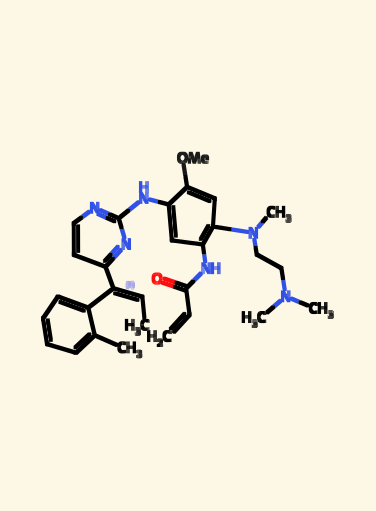 C=CC(=O)Nc1cc(Nc2nccc(/C(=C/C)c3ccccc3C)n2)c(OC)cc1N(C)CCN(C)C